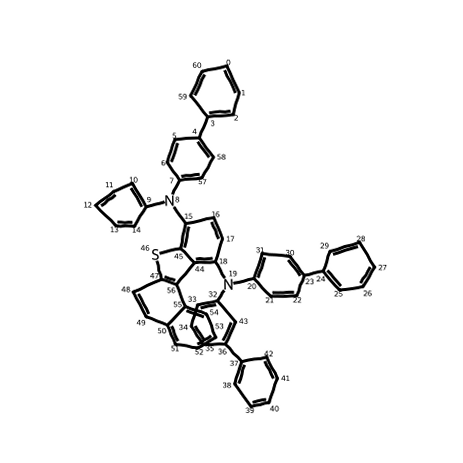 c1ccc(-c2ccc(N(c3ccccc3)c3ccc(N(c4ccc(-c5ccccc5)cc4)c4cccc(-c5ccccc5)c4)c4c3sc3ccc5ccccc5c34)cc2)cc1